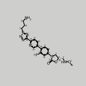 CONC[C@H]1CN(c2ccc(-c3ccc(-c4nnn(CCCN)n4)nc3)c(F)c2)C(=O)O1